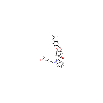 CC(C)Cc1ccc(C2(C)Oc3ccc(C(=O)c4cn(CCCCCC(=O)O)c5ccccc45)cc3O2)cc1